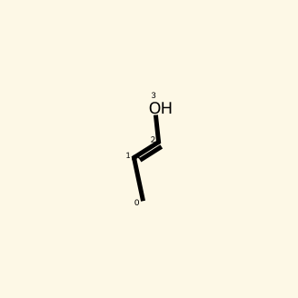 C/[C]=C/O